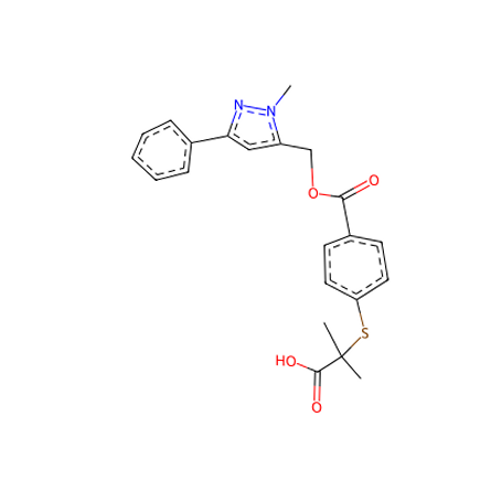 Cn1nc(-c2ccccc2)cc1COC(=O)c1ccc(SC(C)(C)C(=O)O)cc1